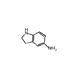 Nc1ccc2c(c1)CCN2